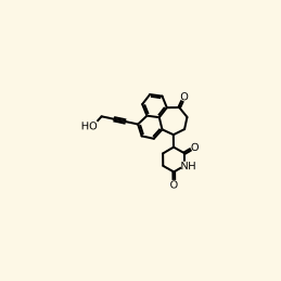 O=C1CCC(C2CCC(=O)c3cccc4c(C#CCO)ccc2c34)C(=O)N1